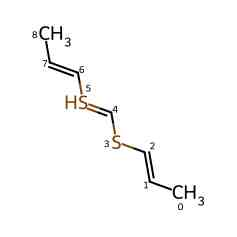 CC=CSC=[SH]C=CC